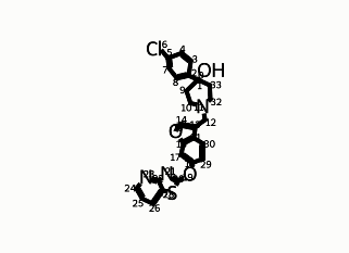 OC1(c2ccc(Cl)cc2)CCN(Cc2coc3cc(Oc4nc5ncccc5s4)ccc23)CC1